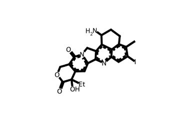 CCC1(O)C(=O)OCc2c1cc1n(c2=O)Cc2c-1nc1cc(I)c(C)c3c1c2C(N)CC3